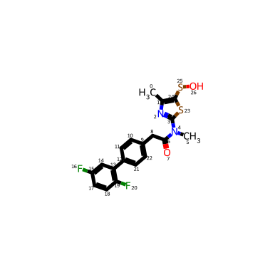 Cc1nc(N(C)C(=O)Cc2ccc(-c3cc(F)ccc3F)cc2)sc1SO